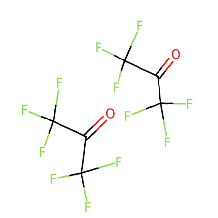 O=C(C(F)(F)F)C(F)(F)F.O=C(C(F)(F)F)C(F)(F)F